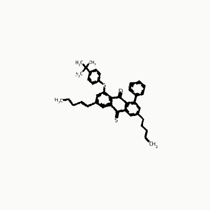 CCCCCc1cc(Sc2ccc(C(C)(C)C)cc2)c2c(c1)C(=S)c1cc(CCCCC)cc(-c3ccccc3)c1C2=O